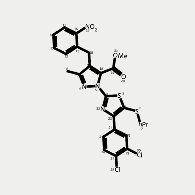 CCCSc1sc(-n2nc(C)c(Cc3ccccc3[N+](=O)[O-])c2C(=O)OC)nc1-c1ccc(Cl)c(Cl)c1